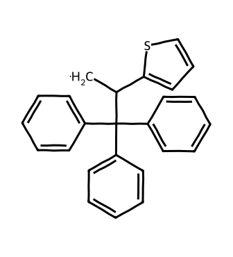 [CH2]C(c1cccs1)C(c1ccccc1)(c1ccccc1)c1ccccc1